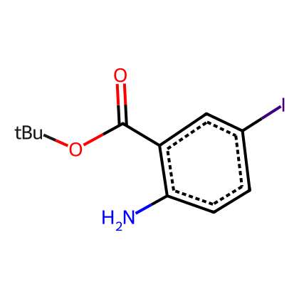 CC(C)(C)OC(=O)c1cc(I)ccc1N